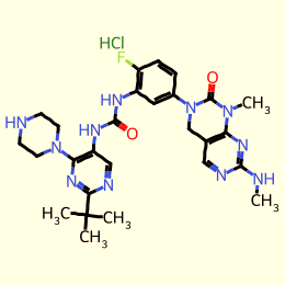 CNc1ncc2c(n1)N(C)C(=O)N(c1ccc(F)c(NC(=O)Nc3cnc(C(C)(C)C)nc3N3CCNCC3)c1)C2.Cl